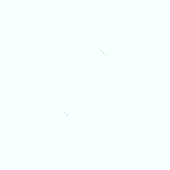 CC1(C)CC(OC(=O)CCCCCCCC(=O)OC2CC(C)(C)NC(C)(C)C2)CC(C)(C)N1